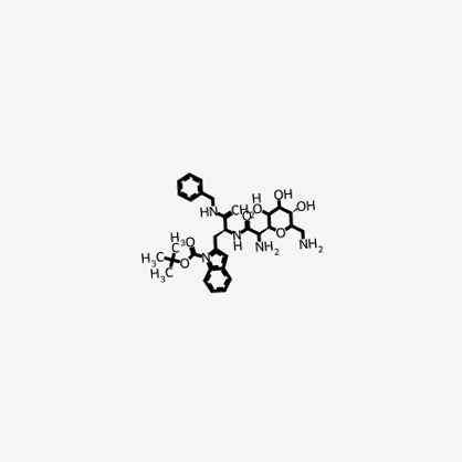 C=C(NCc1ccccc1)[C@H](Cc1cc2ccccc2n1C(=O)OC(C)(C)C)NC(=O)C(N)[C@@H]1OC(CN)[C@@H](O)C(O)C1O